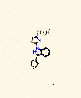 O=C(O)c1csc(-n2nc(C3=CCCC3)c3ccccc32)n1